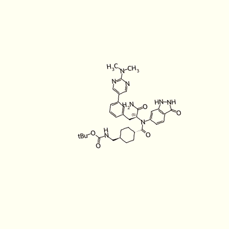 CN(C)c1ncc(-c2cccc(C[C@@H](C(N)=O)N(c3ccc4c(=O)[nH][nH]c4c3)C(=O)[C@H]3CC[C@H](CNC(=O)OC(C)(C)C)CC3)c2)cn1